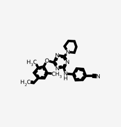 C=Cc1cc(C)c(Oc2nc(Nc3ccc(C#N)cc3)nc(N3CCCCC3)n2)c(C)c1